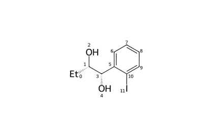 CC[C@H](O)[C@@H](O)c1ccccc1I